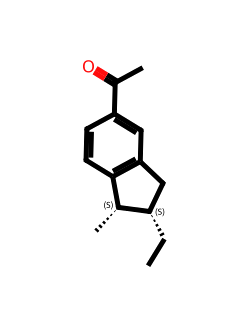 CC[C@H]1Cc2cc(C(C)=O)ccc2[C@H]1C